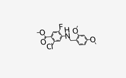 COC(=O)c1cc(F)c(NCc2ccc(OC)cc2OC)cc1Cl